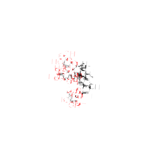 CC1(C)[C@@H](O[C@@H]2O[C@H](C(=O)O)[C@@H](O)[C@H](O)[C@H]2O[C@@H]2O[C@H](C(=O)O)[C@@H](O)[C@H](O)[C@H]2O)CC[C@]2(C)[C@H]3C(=O)C=C4[C@@H]5C[C@@](C)(C(=O)O[C@@H]6O[C@H](CO)[C@@H](O)[C@H](O)[C@H]6O)CC[C@]5(C)CC[C@@]4(C)[C@]3(C)CC[C@@H]12